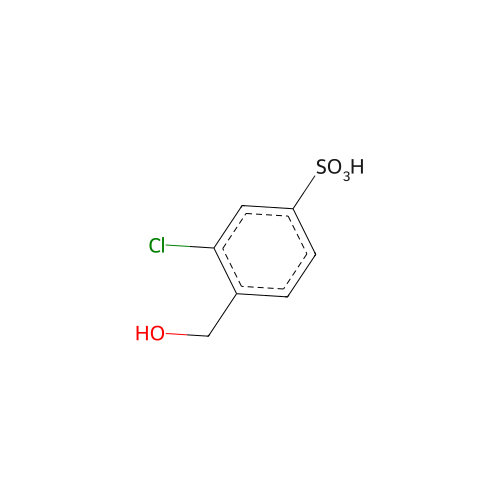 O=S(=O)(O)c1ccc(CO)c(Cl)c1